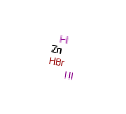 Br.I.I.[Zn]